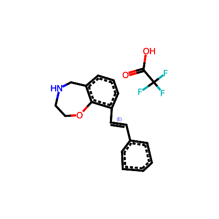 C(=C\c1cccc2c1OCCNC2)/c1ccccc1.O=C(O)C(F)(F)F